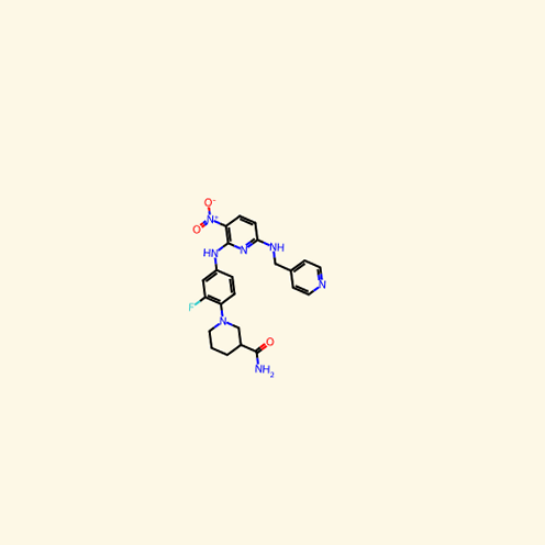 NC(=O)C1CCCN(c2ccc(Nc3nc(NCc4ccncc4)ccc3[N+](=O)[O-])cc2F)C1